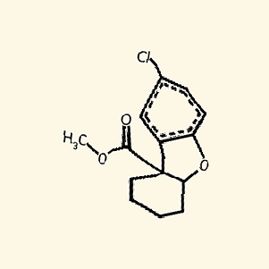 COC(=O)C12CCCCC1Oc1ccc(Cl)cc12